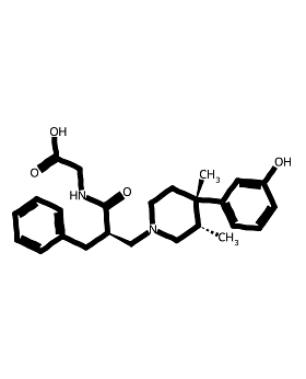 C[C@@H]1CN(C[C@@H](Cc2ccccc2)C(=O)NCC(=O)O)CC[C@]1(C)c1cccc(O)c1